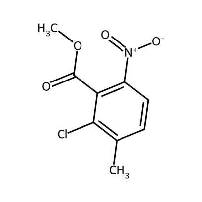 COC(=O)c1c([N+](=O)[O-])ccc(C)c1Cl